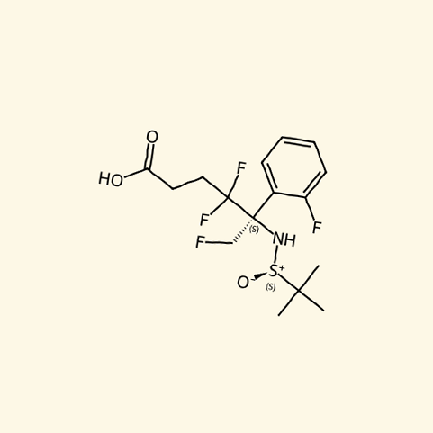 CC(C)(C)[S@@+]([O-])N[C@](CF)(c1ccccc1F)C(F)(F)CCC(=O)O